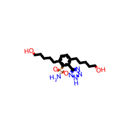 NS(=O)(=O)c1c(CCCCCO)ccc(CCCCCO)c1-c1nn[nH]n1